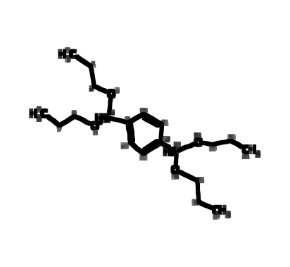 CCCO[SiH](OCCC)c1ccc([SiH](OCCC)OCCC)cc1